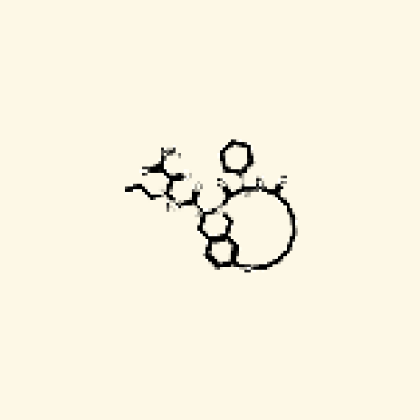 CCC[C@H](NC(=O)[C@@H]1Cc2ccc3cc2CN1C(=O)[C@H](C1CCCCC1)NC(=O)CCCCCCO3)C(=O)C(N)=O